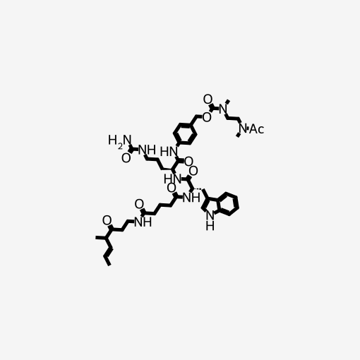 CC=CC(C)C(=O)CCNC(=O)CCCC(=O)N[C@@H](Cc1c[nH]c2ccccc12)C(=O)N[C@@H](CCCNC(N)=O)C(=O)Nc1ccc(COC(=O)N(C)CCN(C)C(C)=O)cc1